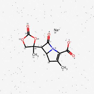 CC1=C(C(=O)[O-])N2C(=O)C(C3(C)COC(=O)O3)C2C1.[Na+]